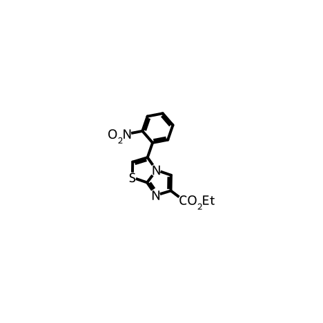 CCOC(=O)c1cn2c(-c3ccccc3[N+](=O)[O-])csc2n1